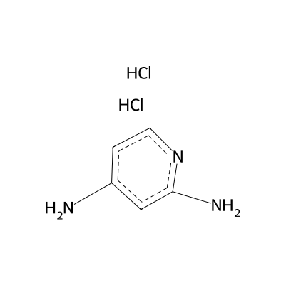 Cl.Cl.Nc1ccnc(N)c1